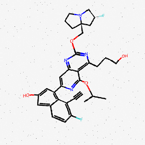 C#Cc1c(F)ccc2cc(O)cc(-c3cc4nc(OC[C@@]56CCCN5C[C@H](F)C6)nc(CCCO)c4c(OC(C)C)n3)c12